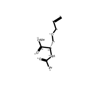 C=CCOC[C@H](NC(=O)C(C)C)C(=O)OC